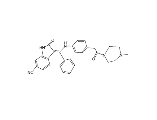 CN1CCN(C(=O)Cc2ccc(N/C(=C3\C(=O)Nc4cc(C#N)ccc43)c3ccccc3)cc2)CC1